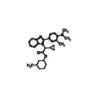 Cc1cc(-c2nc3ccccc3n2C(C(=O)OC2CCCC(C)C2)C2CC2)ccc1N(C)C